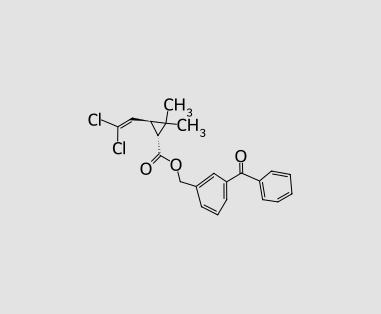 CC1(C)[C@H](C=C(Cl)Cl)[C@H]1C(=O)OCc1cccc(C(=O)c2ccccc2)c1